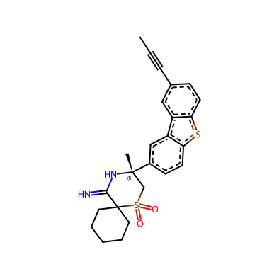 CC#Cc1ccc2sc3ccc([C@]4(C)CS(=O)(=O)C5(CCCCC5)C(=N)N4)cc3c2c1